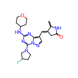 C=C1NC(=O)C/C1=C\c1cnn2c(N3CC[C@@H](F)C3)nc(NC3CCOCC3)nc12